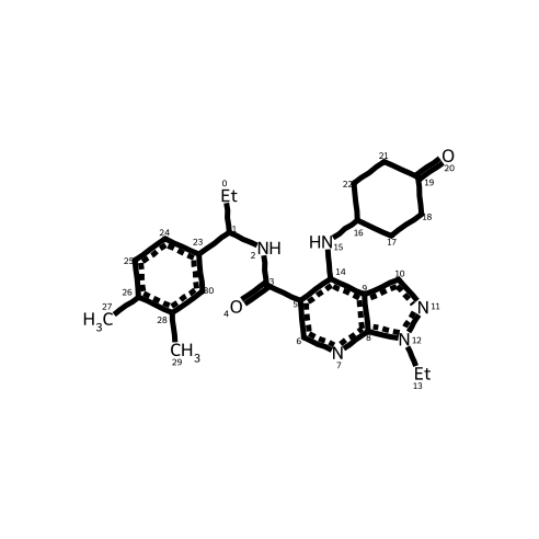 CCC(NC(=O)c1cnc2c(cnn2CC)c1NC1CCC(=O)CC1)c1ccc(C)c(C)c1